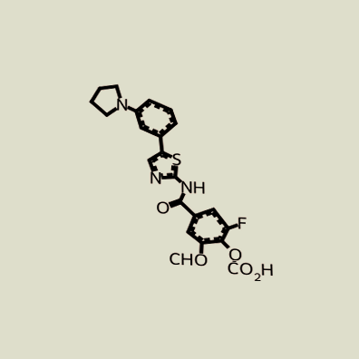 O=Cc1cc(C(=O)Nc2ncc(-c3cccc(N4CCCC4)c3)s2)cc(F)c1OC(=O)O